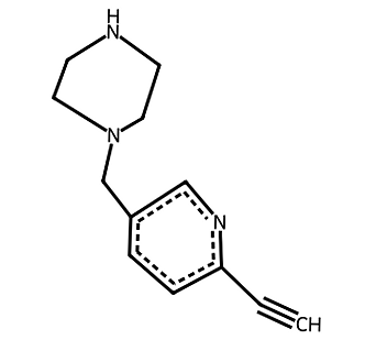 C#Cc1ccc(CN2CCNCC2)cn1